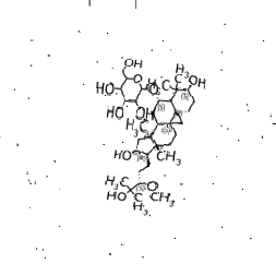 CO[C@@H](CC[C@H]1[C@@H](O)C[C@@]2(C)C3C[C@H](OC4OC(CO)C(O)C(O)C4O)C4C(C)(C)[C@@H](O)CC[C@@]45C[C@@]35CC[C@]12C)C(C)(C)O